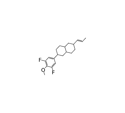 CC=CC1CCC2CC(c3cc(F)c(OC)c(F)c3)CCC2C1